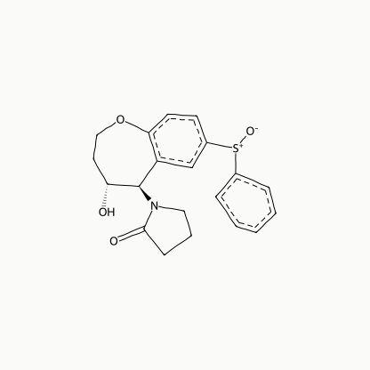 O=C1CCCN1[C@@H]1c2cc([S+]([O-])c3ccccc3)ccc2OCC[C@H]1O